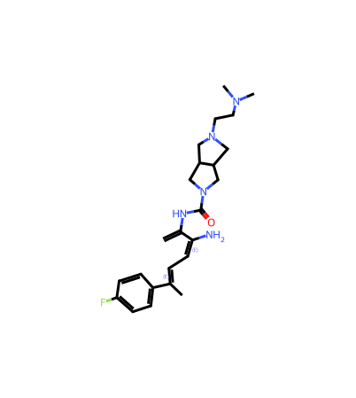 C=C(NC(=O)N1CC2CN(CCN(C)C)CC2C1)/C(N)=C\C=C(/C)c1ccc(F)cc1